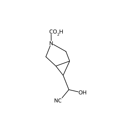 N#CC(O)C1C2CN(C(=O)O)CC21